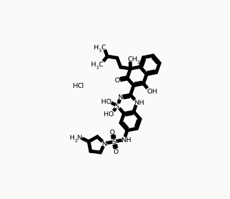 CC(C)CCC1(C)C(=O)C(C2=NS(O)(O)c3cc(NS(=O)(=O)N4CCC(N)C4)ccc3N2)=C(O)c2ccccc21.Cl